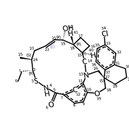 CC[C@H]1SNC(=O)c2ccc3c(c2)N(C[C@@H]2CC[C@H]2[C@@H](O)/C=C/C[C@@H]1C)C[C@@]1(CCCc2cc(Cl)ccc21)CO3